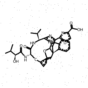 CC(C)[C@H](O)C(=O)N[C@H]1Cc2ccc3c(c2)[C@@]2(c4ccccc4NC2O3)c2oc(nc2-c2nc(C(=O)O)co2)[C@H](C(C)C)NC1=O